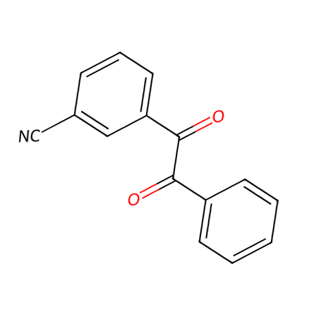 N#Cc1cccc(C(=O)C(=O)c2ccccc2)c1